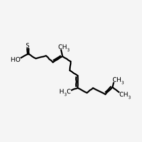 CC(C)=CCCC(C)=CCCC(C)=CCCC(O)=S